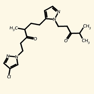 CC(C)C(=O)CCn1nccc1CCC(C)C(=O)CCn1cc(Cl)cn1